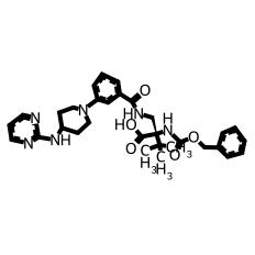 CC(C)(C)[C@@](CNC(=O)c1cccc(N2CCC(Nc3ncccn3)CC2)c1)(NC(=O)OCc1ccccc1)C(=O)O